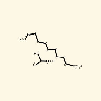 CCC(O)C(=O)O.CCCCCCCC/C=C\CCCCCCCC(=O)O